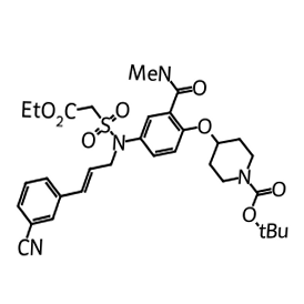 CCOC(=O)CS(=O)(=O)N(C/C=C/c1cccc(C#N)c1)c1ccc(OC2CCN(C(=O)OC(C)(C)C)CC2)c(C(=O)NC)c1